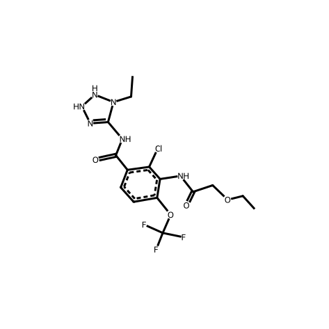 CCOCC(=O)Nc1c(OC(F)(F)F)ccc(C(=O)NC2=NNNN2CC)c1Cl